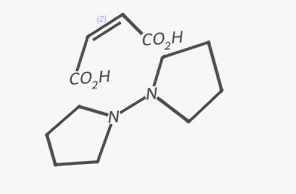 C1CCN(N2CCCC2)C1.O=C(O)/C=C\C(=O)O